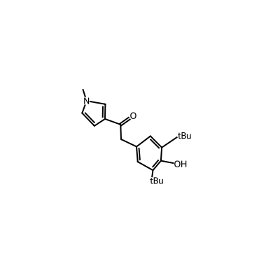 Cn1ccc(C(=O)Cc2cc(C(C)(C)C)c(O)c(C(C)(C)C)c2)c1